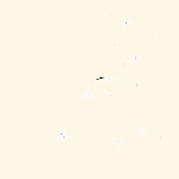 CCNC(=O)[C@@H](NC(=O)[C@H](C)NC[C@H](Cc1ccccc1)NC(=O)c1cc(C(=O)NC(C)(C)c2ccccc2)cc(N(C)S(=O)(=O)N(C)C)c1)C(C)C